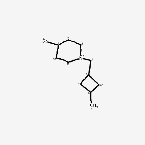 CCC1CCN(CC2CC(C)C2)CC1